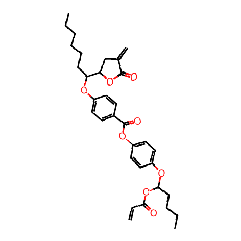 C=CC(=O)OC(CCCC)Oc1ccc(OC(=O)c2ccc(OC(CCCCCC)C3CC(=C)C(=O)O3)cc2)cc1